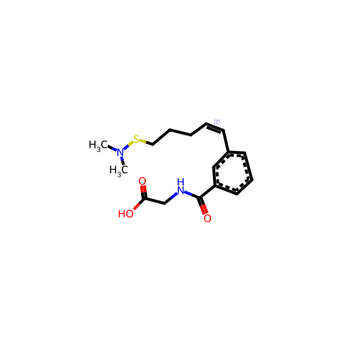 CN(C)SCCC/C=C\c1cccc(C(=O)NCC(=O)O)c1